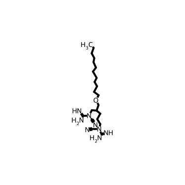 CCCCCCCCCCCCOCC(CCCN(C#N)C(=N)N)CN(C#N)C(=N)N